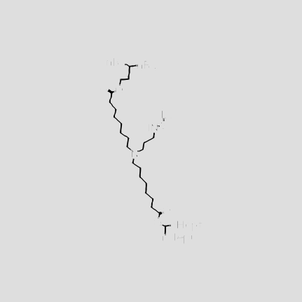 CCCCCCCC(CCCCCCC)OC(=O)CCCCCCCN(CCCCCCCC(=O)OCCC(CCCC)CCCC)CCCNSCC